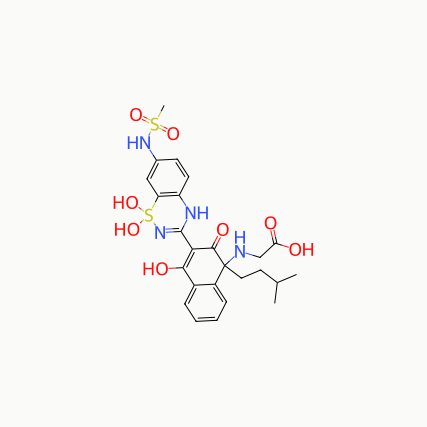 CC(C)CCC1(NCC(=O)O)C(=O)C(C2=NS(O)(O)c3cc(NS(C)(=O)=O)ccc3N2)=C(O)c2ccccc21